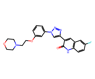 O=c1[nH]c2ccc(F)cc2cc1-c1cn(-c2cccc(OCCN3CCOCC3)c2)nn1